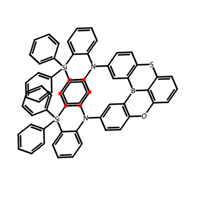 c1ccc([Si]2(c3ccccc3)c3ccccc3N(c3ccc4c(c3)B3c5cc(N6c7ccccc7[Si](c7ccccc7)(c7ccccc7)c7ccccc76)ccc5Sc5cccc(c53)O4)c3ccccc32)cc1